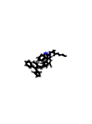 C=CC/C=C(\C)C(=C)C/C=C(\C)C1(c2ccccc2N)C(=C)CC(C)C2=C=C(/C=C(\CC)C(C3=CC=C=C3)c3ccccc3)C=C21